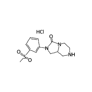 CS(=O)(=O)c1cccc(N2CC3CNCCN3C2=O)c1.Cl